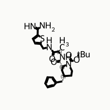 C[C@H](NC(=O)[C@H]1C[C@@H](Cc2ccccc2)CCN1C(=O)OC(C)(C)C)C(=O)NCc1ccc(C(=N)N)s1